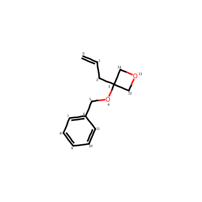 C=CCC1(OCc2ccccc2)COC1